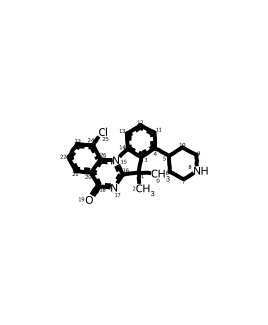 CC1(C)c2c(C3CCNCC3)cccc2-n2c1nc(=O)c1cccc(Cl)c12